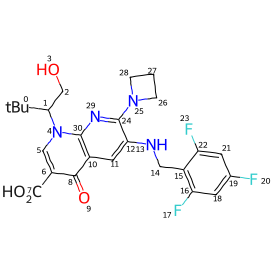 CC(C)(C)C(CO)n1cc(C(=O)O)c(=O)c2cc(NCc3c(F)cc(F)cc3F)c(N3CCC3)nc21